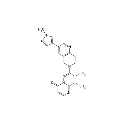 Cc1c(N2CCc3ncc(-c4cnn(C)c4)cc3C2)nn2c(=O)ccnc2c1C